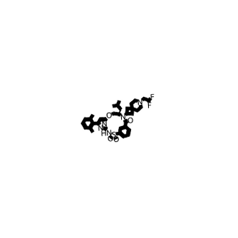 Cc1cccc(C)c1-c1cc2nc(n1)NS(=O)(=O)c1cccc(c1)C(=O)N(C1CC3(CCN(CC(F)F)CC3)C1)[C@H](CC(C)C)CO2